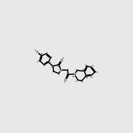 O=C(CN1CCC(c2ccc(F)cc2)C1=O)N1CCc2ccccc2C1